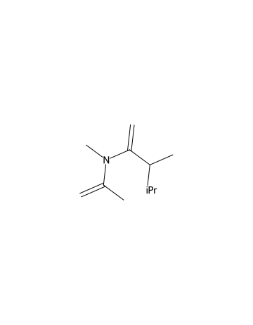 C=C(C)N(C)C(=C)C(C)C(C)C